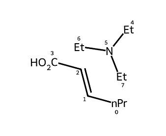 CCCC=CC(=O)O.CCN(CC)CC